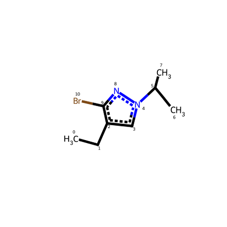 CCc1cn(C(C)C)nc1Br